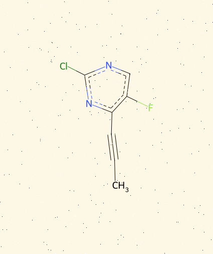 CC#Cc1nc(Cl)ncc1F